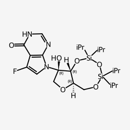 CC(C)[Si]1(C(C)C)OC[C@H]2OC[C@](O)(n3cc(F)c4c(=O)[nH]cnc43)[C@@H]2O[Si](C(C)C)(C(C)C)O1